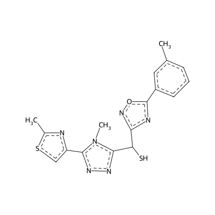 Cc1cccc(-c2nc(C(S)c3nnc(-c4csc(C)n4)n3C)no2)c1